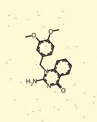 COc1ccc(Cn2c(N)nc(=O)c3ccccc32)cc1OC